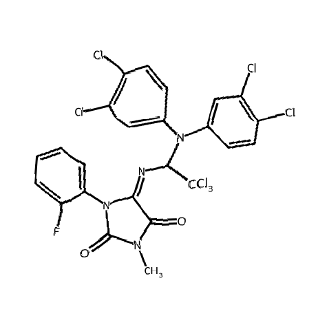 CN1C(=O)C(=NC(N(c2ccc(Cl)c(Cl)c2)c2ccc(Cl)c(Cl)c2)C(Cl)(Cl)Cl)N(c2ccccc2F)C1=O